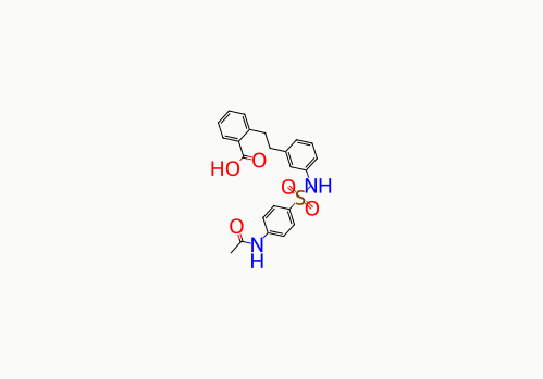 CC(=O)Nc1ccc(S(=O)(=O)Nc2cccc(CCc3ccccc3C(=O)O)c2)cc1